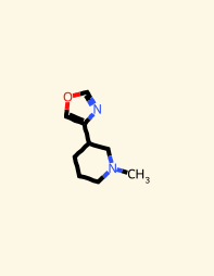 CN1CCCC(c2cocn2)C1